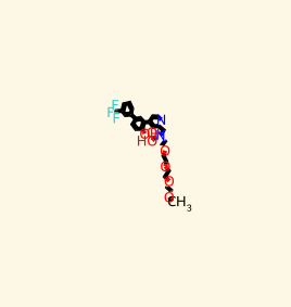 COCCOCCOCCOCCN(Cc1cc(-c2cc(-c3cccc(C(F)(F)F)c3)ccc2O)ccn1)C(=O)O